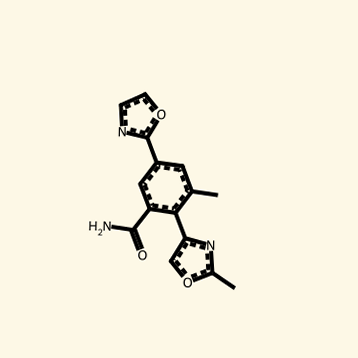 Cc1nc(-c2c(C)cc(-c3ncco3)cc2C(N)=O)co1